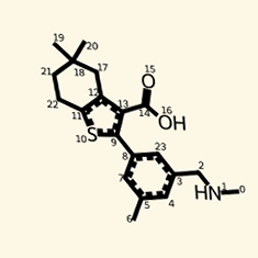 CNCc1cc(C)cc(-c2sc3c(c2C(=O)O)CC(C)(C)CC3)c1